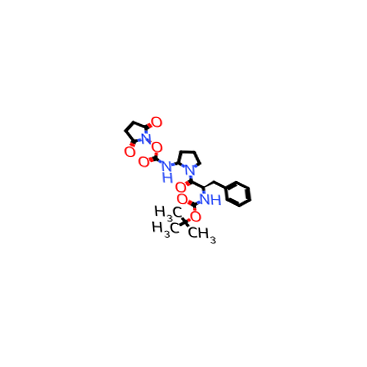 CC(C)(C)OC(=O)N[C@H](Cc1ccccc1)C(=O)N1CCCC1NC(=O)ON1C(=O)CCC1=O